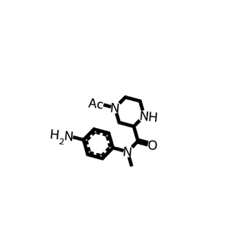 CC(=O)N1CCNC(C(=O)N(C)c2ccc(N)cc2)C1